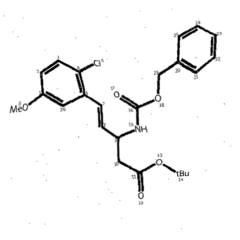 COc1ccc(Cl)c(C=CC(CC(=O)OC(C)(C)C)NC(=O)OCc2ccccc2)c1